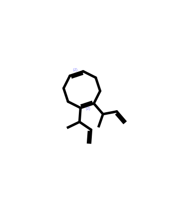 C=CC(C)/C1=C(\C(C)C=C)CC/C=C\CC1